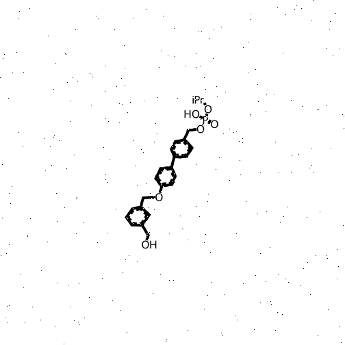 CC(C)OP(=O)(O)OCc1ccc(-c2ccc(OCc3cccc(CO)c3)cc2)cc1